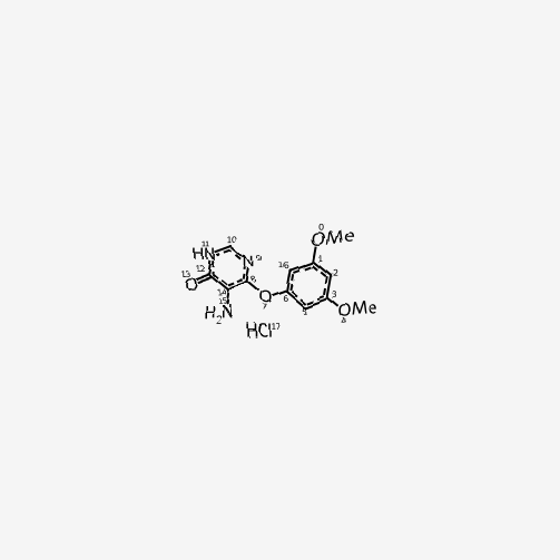 COc1cc(OC)cc(Oc2nc[nH]c(=O)c2N)c1.Cl